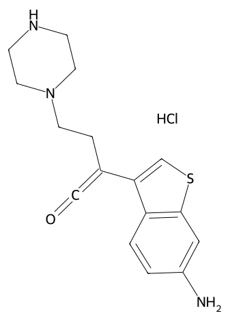 Cl.Nc1ccc2c(C(=C=O)CCN3CCNCC3)csc2c1